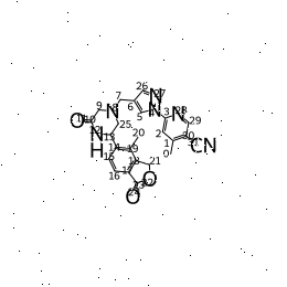 Cc1cc(-n2cc(CN3CC(=O)NC(c4ccc5c(c4C)COC5=O)C3)cn2)ncc1C#N